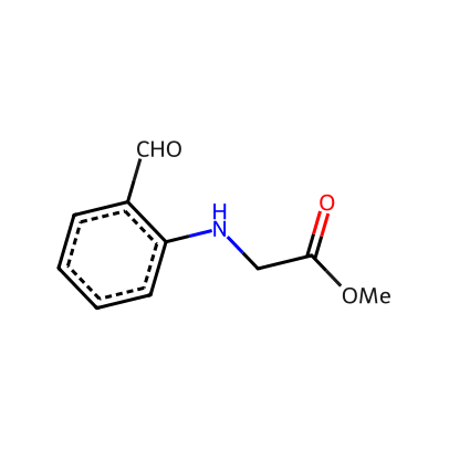 COC(=O)CNc1ccccc1C=O